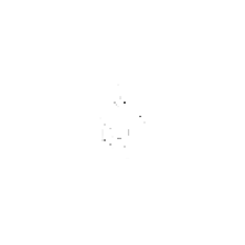 O=S(=O)(CC1CCC1)N1CCC(Nc2ncc3cc(C(F)F)nc(N4CC5(CCNC5)C4)c3n2)CC1